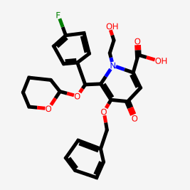 O=C(O)c1cc(=O)c(OCc2ccccc2)c(C(OC2CCCCO2)c2ccc(F)cc2)n1CCO